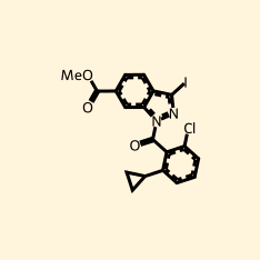 COC(=O)c1ccc2c(I)nn(C(=O)c3c(Cl)cccc3C3CC3)c2c1